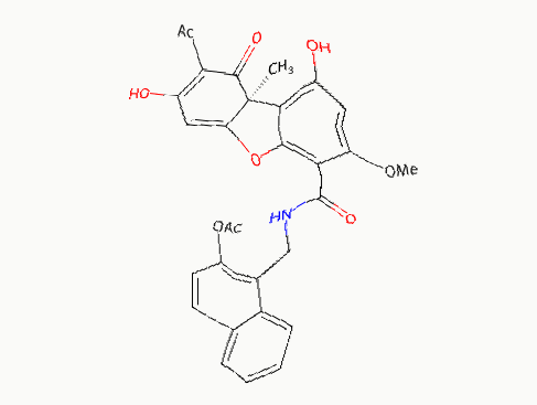 COc1cc(O)c2c(c1C(=O)NCc1c(OC(C)=O)ccc3ccccc13)OC1=CC(O)=C(C(C)=O)C(=O)[C@]12C